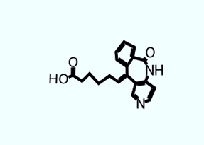 O=C(O)CCCCC=C1c2cnccc2NC(=O)c2ccccc21